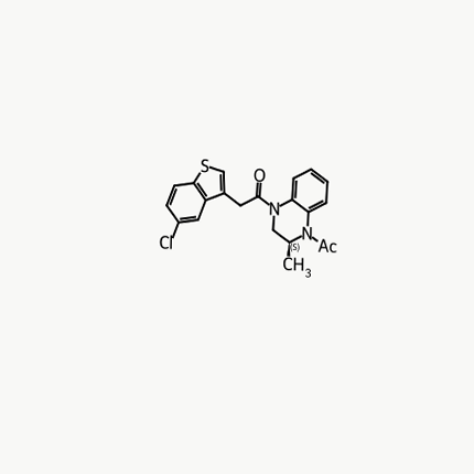 CC(=O)N1c2ccccc2N(C(=O)Cc2csc3ccc(Cl)cc23)C[C@@H]1C